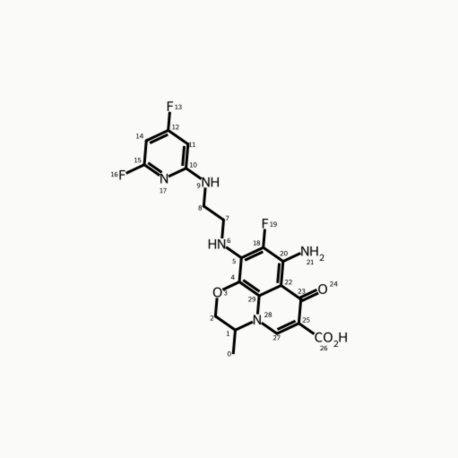 CC1COc2c(NCCNc3cc(F)cc(F)n3)c(F)c(N)c3c(=O)c(C(=O)O)cn1c23